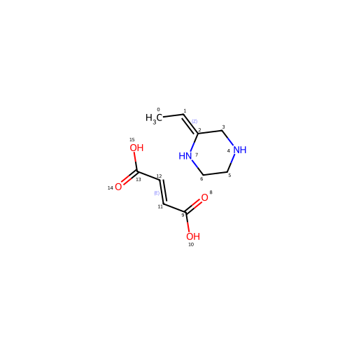 C/C=C1/CNCCN1.O=C(O)/C=C/C(=O)O